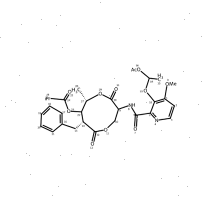 COc1ccnc(C(=O)NC2COC(=O)[C@H](Cc3ccccc3)C(OC(=O)C(C)C)[C@H](C)OC2=O)c1OC(C)OC(C)=O